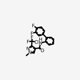 Cn1cc(C(=O)Nc2ccccc2-c2ccc(F)c(F)c2)c(C(F)(F)Cl)n1